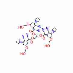 N#CC1=C(N2CCCC2)CC(OCCO)C/C1=C(/C#N)C(=O)OCC(COC(=O)/C(C#N)=C1\CC(OCCO)CC(N2CCCC2)=C1C#N)COC(=O)/C(C#N)=C1\CC(OCCO)CC(N2CCCC2)=C1C#N